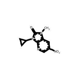 Cn1c(=O)n(C2CC2)c2ncc([N+](=O)[O-])cc21